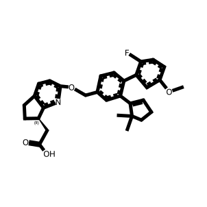 COc1ccc(F)c(-c2ccc(COc3ccc4c(n3)[C@@H](CC(=O)O)CC4)cc2C2=CCCC2(C)C)c1